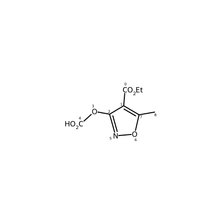 CCOC(=O)c1c(OC(=O)O)noc1C